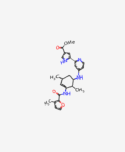 COC(=O)c1c[nH]c(-c2cc(NC3CC(C)C=C(NC(=O)c4occc4C)C3C)ccn2)c1